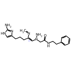 C=N/C(=C\N(N)CC(=O)NCCc1ccccc1)CCCc1c[nH]c(N)n1